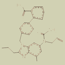 C=CCN(C(N)=O)c1cc(C)c2nc(CCC)n(Cc3ccc(-c4ccccc4C(=O)O)cc3)c2c1